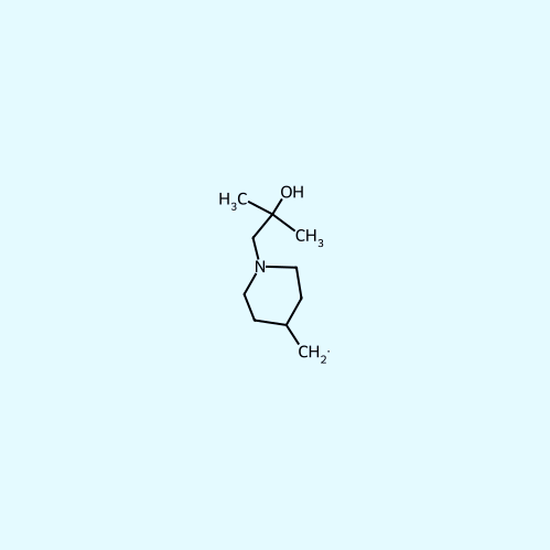 [CH2]C1CCN(CC(C)(C)O)CC1